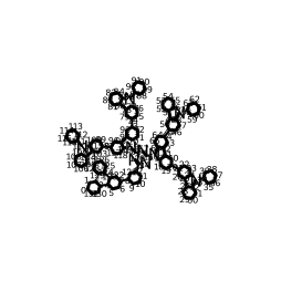 c1ccc(-c2ccc(-c3cccc(-c4nc(-n5c6ccc(-c7ccc8c(c7)c7ccccc7n8-c7ccccc7)cc6c6cc(-c7ccc8c(c7)c7ccccc7n8-c7ccccc7)ccc65)nc(-n5c6ccc(-c7ccc8c(c7)c7ccccc7n8-c7ccccc7)cc6c6cc(-c7ccc8c(c7)c7ccccc7n8-c7ccccc7)ccc65)n4)c3)cc2-c2ccccc2)cc1